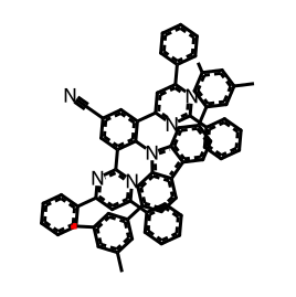 Cc1cc(C)cc(-c2ccc3c4ccc(-c5cc(C)cc(C)c5)cc4n(-c4c(-c5cc(-c6ccccc6)nc(-c6ccccc6)n5)cc(C#N)cc4-c4nc(-c5ccccc5)cc(-c5ccccc5)n4)c3c2)c1